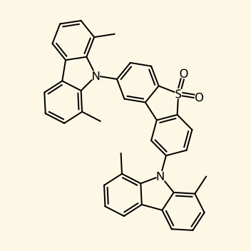 Cc1cccc2c3cccc(C)c3n(-c3ccc4c(c3)-c3cc(-n5c6c(C)cccc6c6cccc(C)c65)ccc3S4(=O)=O)c12